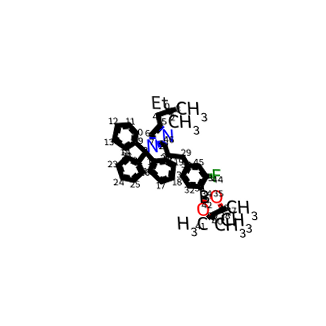 CCC(C)(C)Cc1cn(C(c2ccccc2)(c2ccccc2)c2ccccc2)c(CCc2ccc(B3OC(C)(C)C(C)(C)O3)c(F)c2)n1